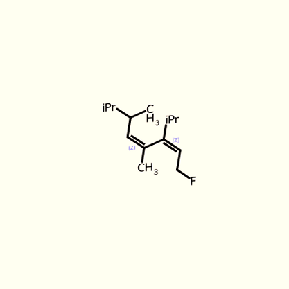 CC(=C/C(C)C(C)C)/C(=C\CF)C(C)C